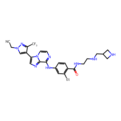 CCc1cc(Nc2nccn3c(-c4cn(CC#N)nc4C(F)(F)F)cnc23)ccc1C(=O)NCCNCC1CNC1